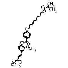 C=C(C)C(=O)OCCCCCCCCOc1ccc(C(=O)Oc2ccc(/C=C/C(=O)OC)cc2OC)cc1